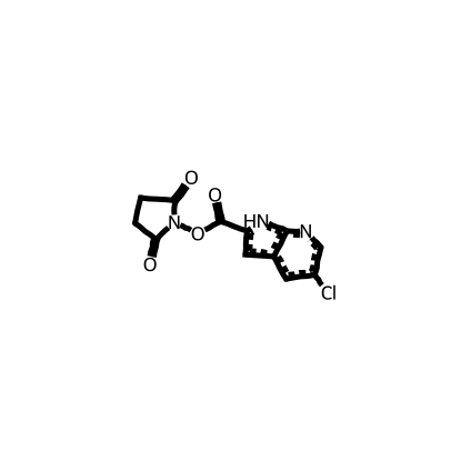 O=C(ON1C(=O)CCC1=O)c1cc2cc(Cl)cnc2[nH]1